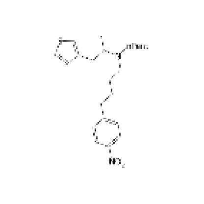 CCCCCN(CCCCc1ccc([N+](=O)[O-])cc1)C(C)Cc1ccsc1